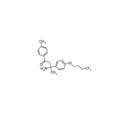 Cc1ccc(C(=O)CC(C)(N)c2ccc(OCCCC(F)(F)F)cc2)cc1